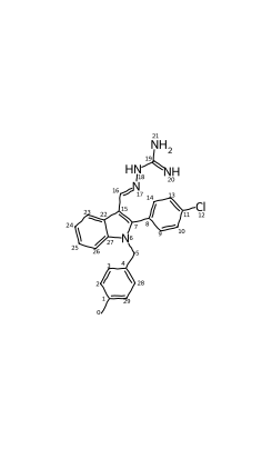 Cc1ccc(Cn2c(-c3ccc(Cl)cc3)c(C=NNC(=N)N)c3ccccc32)cc1